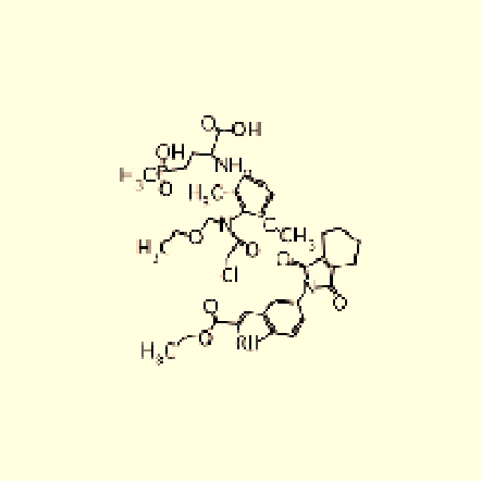 CCOC(=O)/C(Cl)=C/c1cc(N2C(=O)C3=C(CCCC3)C2=O)ccc1Cl.CCOCN(C(=O)CCl)c1c(C)cccc1CC.CP(=O)(O)CCC(N)C(=O)O